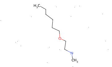 CCCCCCOCC[N]C